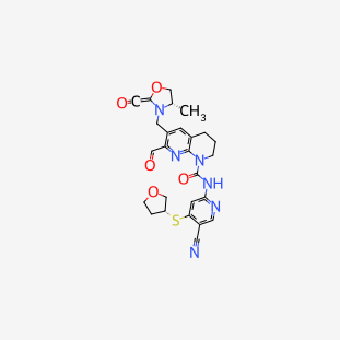 C[C@H]1COC(=C=O)N1Cc1cc2c(nc1C=O)N(C(=O)Nc1cc(S[C@@H]3CCOC3)c(C#N)cn1)CCC2